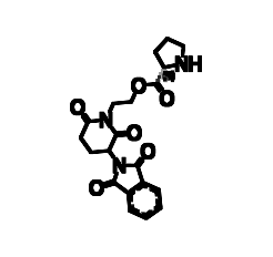 O=C(OCCN1C(=O)CCC(N2C(=O)c3ccccc3C2=O)C1=O)[C@@H]1CCCN1